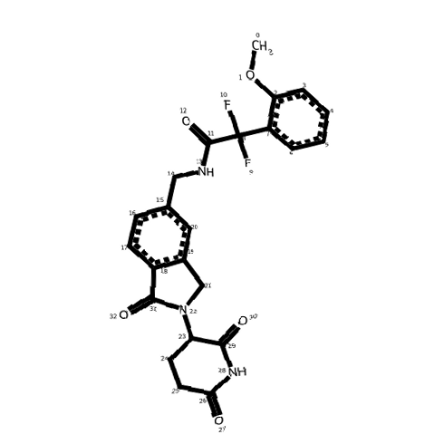 COc1ccccc1C(F)(F)C(=O)NCc1ccc2c(c1)CN(C1CCC(=O)NC1=O)C2=O